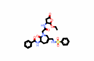 CCOC1OC(=O)CC1NC(=O)CN1CC(CNS(=O)(=O)c2ccccc2)=CCC(NC(=O)c2ccccc2)C1=O